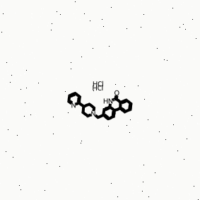 Cl.Cl.O=c1[nH]c2cc(CN3CCC(c4ccccn4)CC3)ccc2c2ccccc12